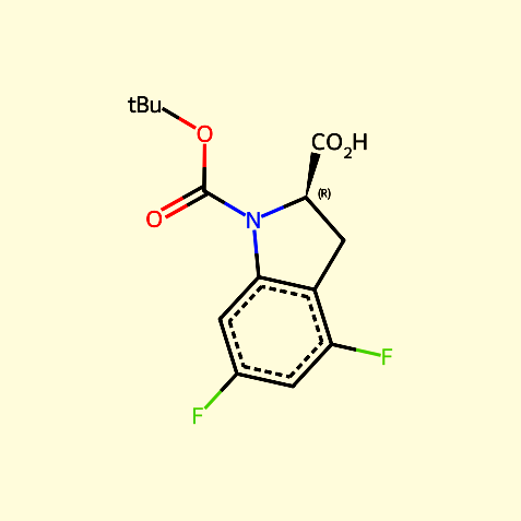 CC(C)(C)OC(=O)N1c2cc(F)cc(F)c2C[C@@H]1C(=O)O